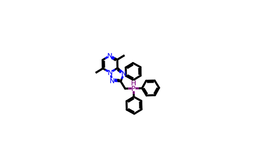 Cc1ncc(C)n2nc(C[PH](c3ccccc3)(c3ccccc3)c3ccccc3)nc12